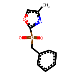 Cc1coc(S(=O)(=O)Cc2ccccc2)n1